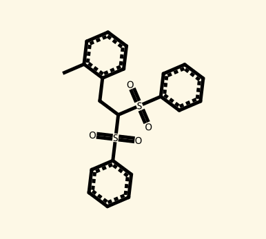 Cc1ccccc1CC(S(=O)(=O)c1ccccc1)S(=O)(=O)c1ccccc1